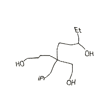 CCC(O)CC(CO)(CO)C(C)C